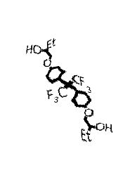 CCC(O)COC1CCC(C(C2CCC(OCC(O)CC)CC2)(C(F)(F)F)C(F)(F)F)CC1